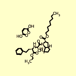 CCCCCCCCOC(=O)[C@H]1C[C@H]2CCC[C@H]2N1C(=O)[C@@H](C)N[C@H](CCc1ccccc1)C(=O)OCC.O=C(O)/C=C\C(=O)O